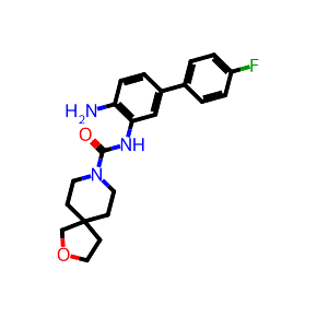 Nc1ccc(-c2ccc(F)cc2)cc1NC(=O)N1CCC2(CCOC2)CC1